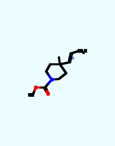 CC1(/C=C/C(=O)O)CCN(C(=O)OC(C)(C)C)CC1